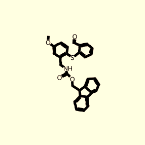 COc1ccc(Sc2ccccc2C=O)c(CNC(=O)OCC2c3ccccc3-c3ccccc32)c1